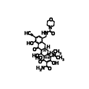 C#Cc1cc(CNC(=O)N2CCOCC2)c2c(c1O)C(=O)C1=C(O)[C@]3(O)C(=O)C(C(N)=O)=C(O)[C@H](N(C)C)[C@H]3C[C@@H]1C2